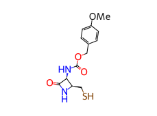 COc1ccc(COC(=O)N[C@@H]2C(=O)N[C@@H]2CS)cc1